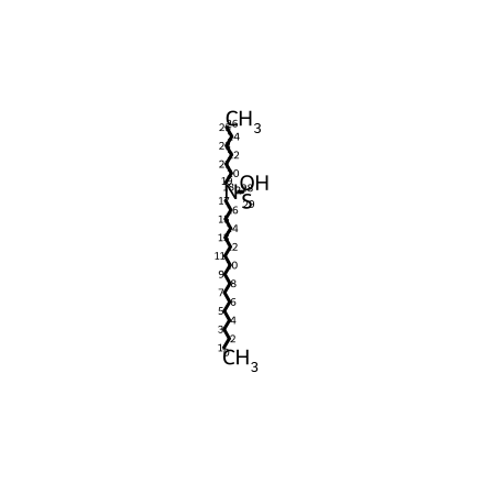 CCCCCCCCCCCCCCCCCCN(CCCCCCCC)C(O)=S